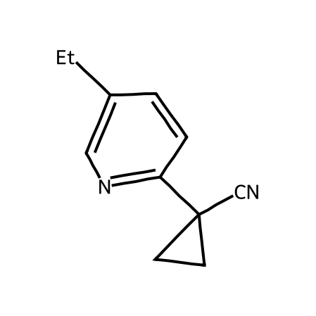 CCc1ccc(C2(C#N)CC2)nc1